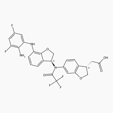 Nc1c(F)cc(F)cc1Nc1cccc2c1OC[C@H]2N(C(=O)C(F)(F)F)c1ccc2c(c1)OC[C@H]2CC(=O)O